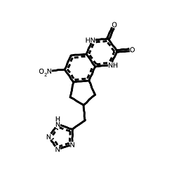 O=c1[nH]c2cc([N+](=O)[O-])c3c(c2[nH]c1=O)CC(Cc1nnn[nH]1)C3